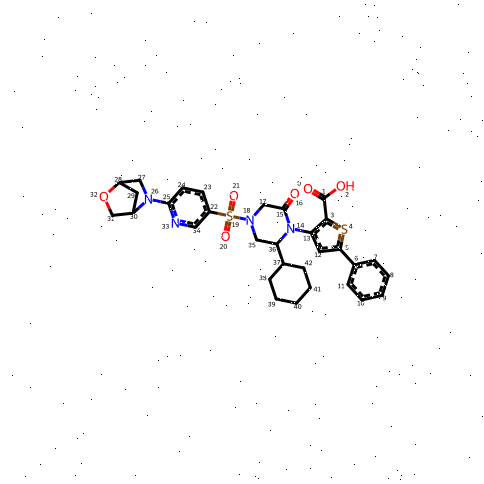 O=C(O)c1sc(-c2ccccc2)cc1N1C(=O)CN(S(=O)(=O)c2ccc(N3CC4CC3CO4)nc2)CC1C1CCCCC1